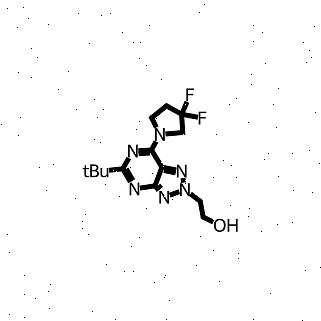 CC(C)(C)c1nc(N2CCC(F)(F)C2)c2nn(CCO)nc2n1